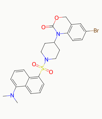 CN(C)c1cccc2c(S(=O)(=O)N3CCC(N4C(=O)OCc5cc(Br)ccc54)CC3)cccc12